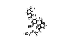 CCOc1cc(C(=O)Nc2cc(C(F)(F)F)ccn2)ccc1-c1nc(CC2CC2CC(=O)O)n2ccnc(N)c12